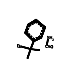 CCC(C)(C)c1ccccc1.NC=O